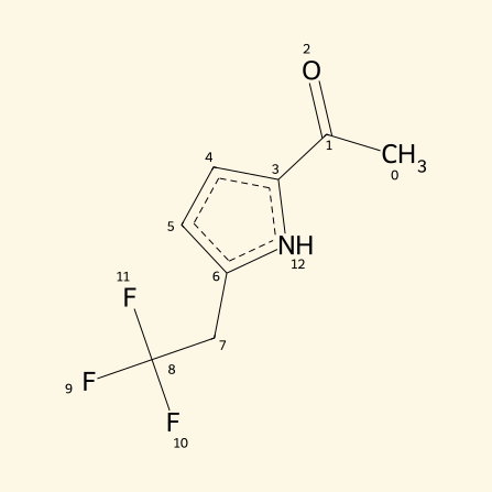 CC(=O)c1ccc(CC(F)(F)F)[nH]1